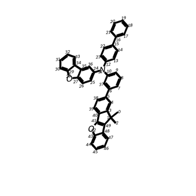 CC1(C)c2cc(-c3cccc(N(c4ccc(-c5ccccc5)cc4)c4ccc5oc6ccccc6c5c4)c3)ccc2-c2oc3ccccc3c21